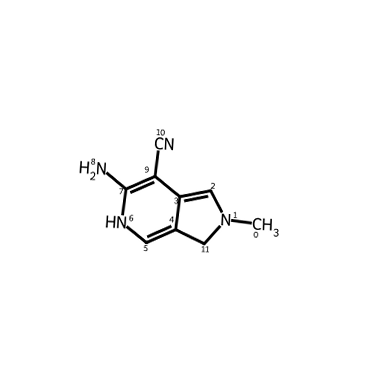 CN1C=C2C(=CNC(N)=C2C#N)C1